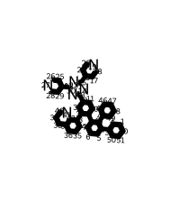 c1ccc(-c2cccc(-c3ccc(-c4nc(-c5ccncc5)nc(-c5ccncc5)n4)cc3-c3cccc4cccnc34)c2-c2ccccc2)cc1